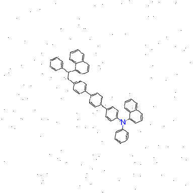 c1ccc(C(Cc2ccc(-c3ccc(-c4ccc(N(c5ccccc5)c5cccc6ccccc56)cc4)cc3)cc2)c2cccc3ccccc23)cc1